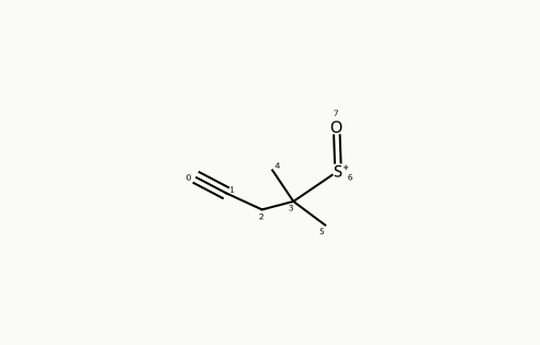 C#CCC(C)(C)[S+]=O